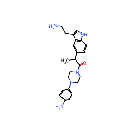 CC(C(=O)N1CCN(c2ccc(N)cc2)CC1)c1ccc2[nH]cc(CCN)c2c1